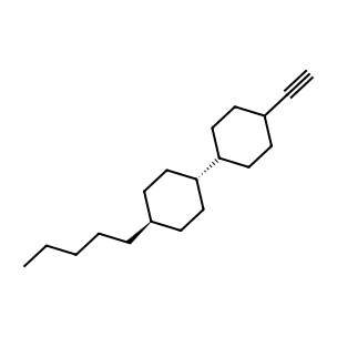 C#CC1CCC([C@H]2CC[C@H](CCCCC)CC2)CC1